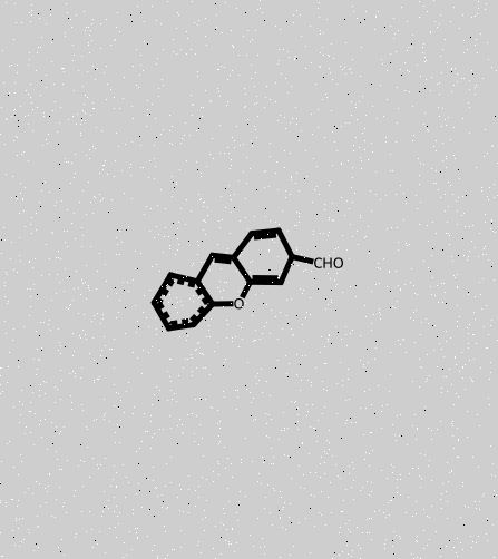 O=CC1C=CC2=Cc3ccccc3OC2=C1